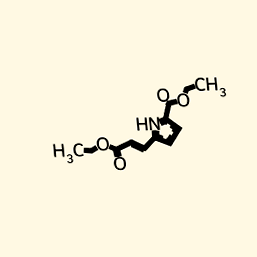 CCOC(=O)C=Cc1ccc(C(=O)OCC)[nH]1